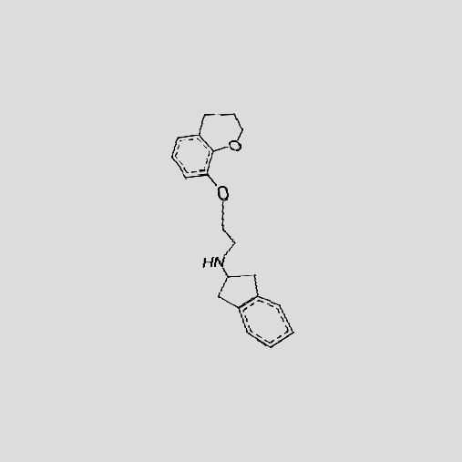 c1ccc2c(c1)CC(NCCOc1cccc3c1OCCC3)C2